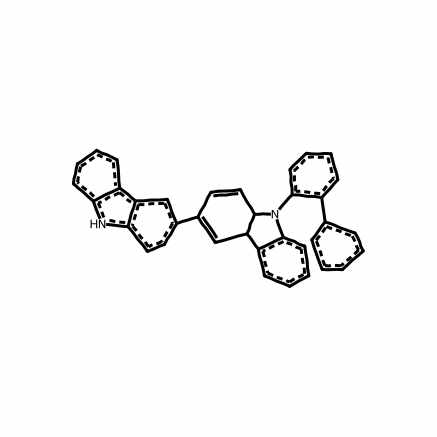 C1=CC2C(C=C1c1ccc3[nH]c4ccccc4c3c1)c1ccccc1N2c1ccccc1-c1ccccc1